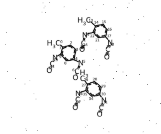 Cc1ccc(N=C=O)cc1N=C=O.Cc1ccc(N=C=O)cc1N=C=O.Cc1ccc(N=C=O)cc1N=C=O